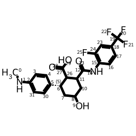 CNc1ccc([C@H]2CC(O)CC(C(=O)Nc3ccc(C(F)(F)F)cc3F)C2C(=O)O)cc1